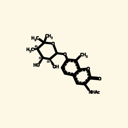 CC(=O)Nc1cc2ccc(OC3OC(C)(C)[C@H](C)[C@H](O)[C@@H]3O)c(C)c2oc1=O